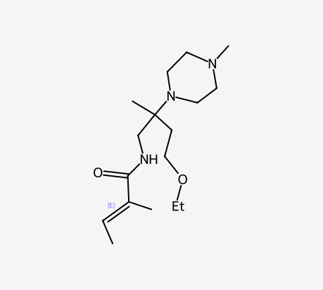 C/C=C(\C)C(=O)NCC(C)(CCOCC)N1CCN(C)CC1